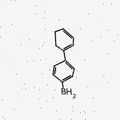 Bc1ccc(C2=CC=CCC2)cc1